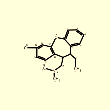 CCC1c2ccccc2Oc2cc(Cl)ccc2C1CN(C)C